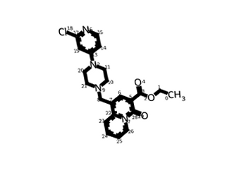 CCOC(=O)c1cc(CN2CCN(c3ccnc(Cl)c3)CC2)c2ccccn2c1=O